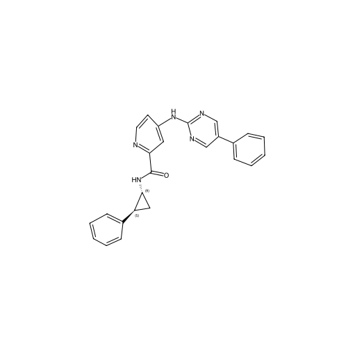 O=C(N[C@@H]1C[C@H]1c1ccccc1)c1cc(Nc2ncc(-c3ccccc3)cn2)ccn1